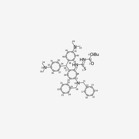 CC(C)COC(=O)NC(=S)Nc1cc(N(Cc2ccccc2)Cc2ccccc2)ccc1C(c1ccc(N(C)C)cc1)c1ccc(N(C)C)cc1